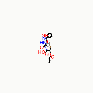 C/C=C/C(=O)OCC1=C(C(=O)O)N2C(=O)[C@@H](NC(=O)C(=NO)c3ccccc3)[C@@H]2SC1